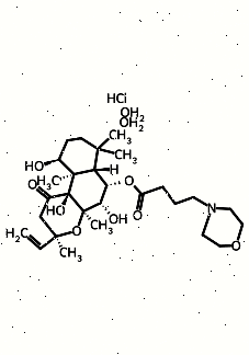 C=C[C@@]1(C)CC(=O)[C@]2(O)[C@@]3(C)[C@@H](O)CCC(C)(C)[C@@H]3[C@H](OC(=O)CCCN3CCOCC3)[C@H](O)[C@@]2(C)O1.Cl.O.O